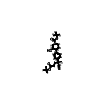 CC(C)(C)OC(=O)CC[C@@](C)(C#N)c1ccc(C2CCN(C(=O)OC(C)(C)C)CC2O)cc1